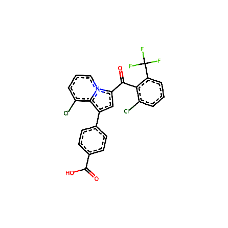 O=C(O)c1ccc(-c2cc(C(=O)c3c(Cl)cccc3C(F)(F)F)n3cccc(Cl)c23)cc1